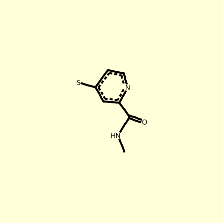 CNC(=O)c1cc([S])ccn1